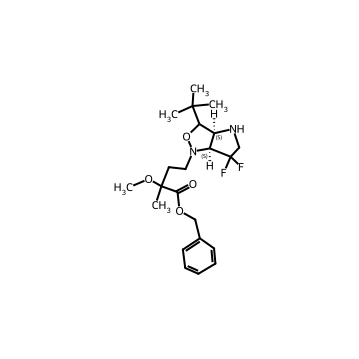 COC(C)(CCN1OC(C(C)(C)C)[C@H]2NCC(F)(F)[C@H]21)C(=O)OCc1ccccc1